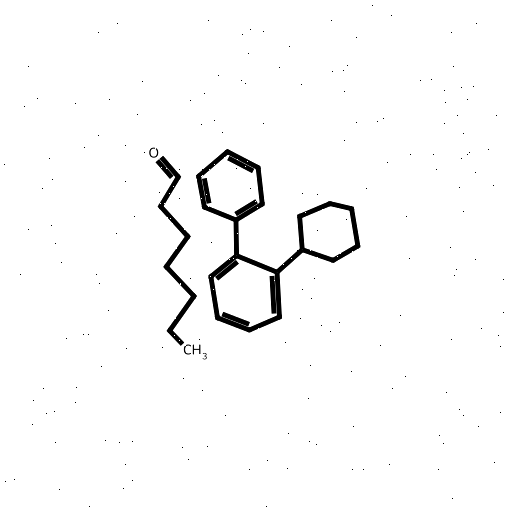 CCCCCCC=O.c1ccc(-c2ccccc2C2CCCCC2)cc1